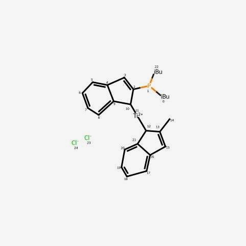 CCC(C)P(C1=Cc2ccccc2[CH]1[Ti+2][CH]1C(C)=Cc2ccccc21)C(C)CC.[Cl-].[Cl-]